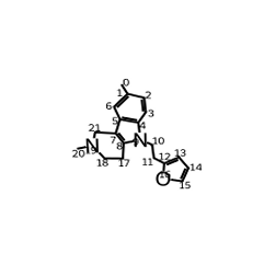 Cc1ccc2c(c1)c1c(n2CCc2ccco2)CCN(C)C1